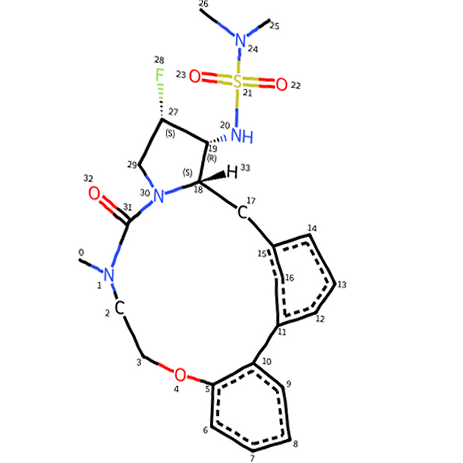 CN1CCOc2ccccc2-c2cccc(c2)C[C@H]2[C@@H](NS(=O)(=O)N(C)C)[C@@H](F)CN2C1=O